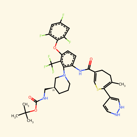 CC1=C(C2=CNNC=C2)SC=C(C(=O)Nc2ccc(Oc3c(F)cc(F)cc3F)c(C(F)(F)F)c2N2CCC[C@@H](CNC(=O)OC(C)(C)C)C2)CC1